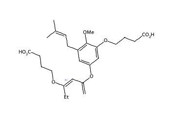 C=C(/C=C(\CC)OCCCC(=O)O)Oc1cc(CC=C(C)C)c(OC)c(OCCCC(=O)O)c1